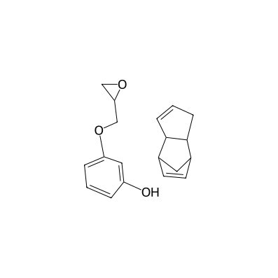 C1=CC2C3C=CC(C3)C2C1.Oc1cccc(OCC2CO2)c1